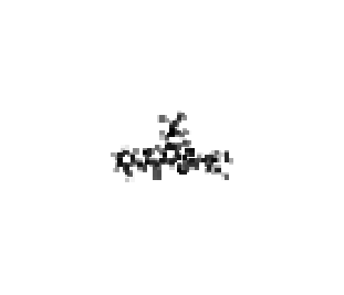 CN(C)/C=N/S(=O)(=O)c1cc(NC(=O)Cc2ccccc2Cl)cc2c1CCN(C(I)I)C2